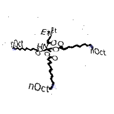 CCCCCCCC/C=C\CCCCCCCC(=O)OCC(COC(=O)CCCCCCC/C=C\CCCCCCCC)(COC(=O)CCCCCCC/C=C\CCCCCCCC)NC(=O)CCN(CC)CC